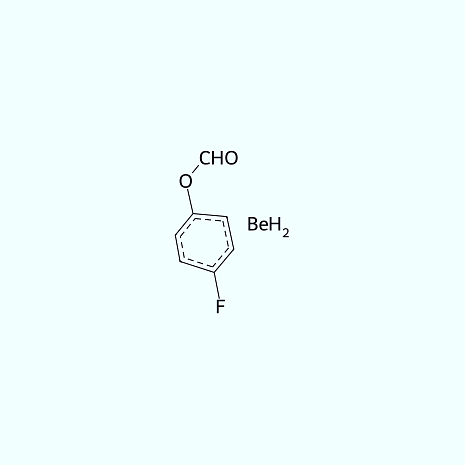 O=COc1ccc(F)cc1.[BeH2]